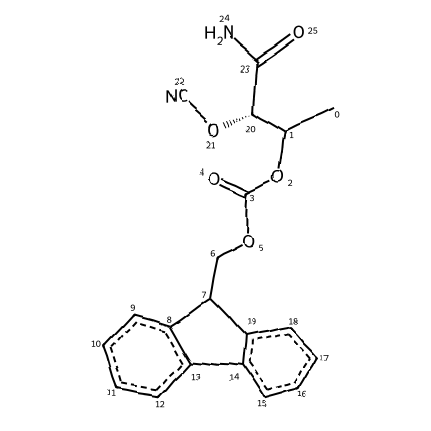 CC(OC(=O)OCC1c2ccccc2-c2ccccc21)[C@H](OC#N)C(N)=O